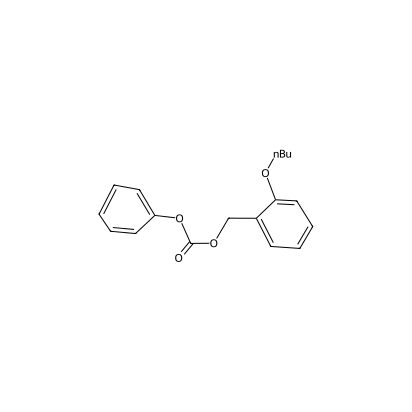 CCCCOc1ccccc1COC(=O)Oc1ccccc1